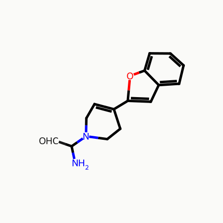 NC(C=O)N1CC=C(c2cc3ccccc3o2)CC1